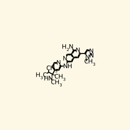 CN[C@@](C)(c1ccnc(Nc2cc3cc(-c4cnnn4C)nc(N)c3cn2)c1)C(C)C